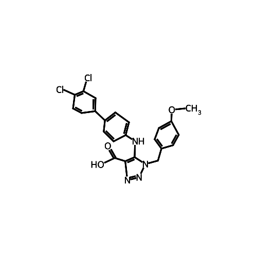 COc1ccc(Cn2nnc(C(=O)O)c2Nc2ccc(-c3ccc(Cl)c(Cl)c3)cc2)cc1